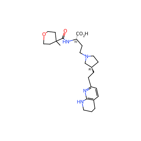 CC1(C(=O)N[C@@H](CCN2CC[C@@H](CCc3ccc4c(n3)NCCC4)C2)C(=O)O)CCOCC1